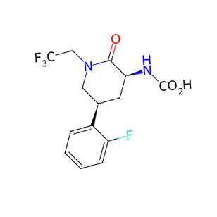 O=C(O)N[C@H]1C[C@@H](c2ccccc2F)CN(CC(F)(F)F)C1=O